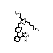 CCCCc1nc(CCC)n(Cc2ccc(-c3ccccc3-c3nnn[nH]3)cn2)n1